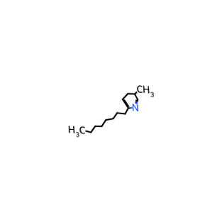 CCCCCCCCC1=CCC(C)C=N1